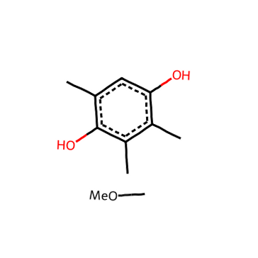 COC.Cc1cc(O)c(C)c(C)c1O